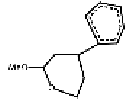 COC1CC(c2ccccc2)CCO1